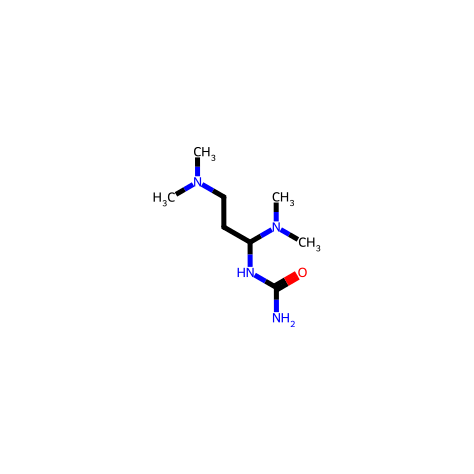 CN(C)CCC(NC(N)=O)N(C)C